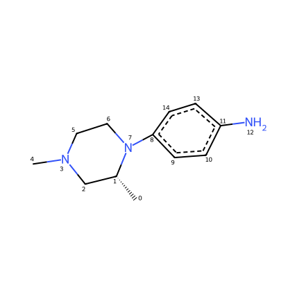 C[C@@H]1CN(C)CCN1c1ccc(N)cc1